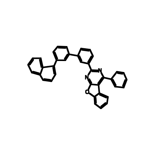 c1ccc(-c2nc(-c3cccc(-c4cccc(-c5cccc6ccccc56)c4)c3)nc3oc4ccccc4c23)cc1